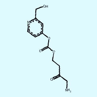 NCC(=O)CCOC(=O)Oc1ccnc(CO)c1